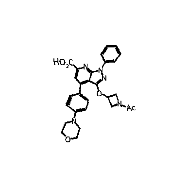 CC(=O)N1CC(Oc2nn(-c3ccccc3)c3nc(C(=O)O)cc(-c4ccc(N5CCOCC5)cc4)c23)C1